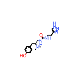 CN(C)[C@H](CNC(=O)NCCc1c[nH]nn1)Cc1ccc(O)cc1